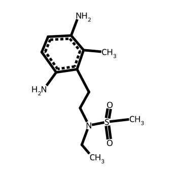 CCN(CCc1c(N)ccc(N)c1C)S(C)(=O)=O